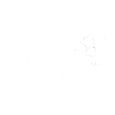 CCOCC=NOCCCCN(C)C[C@H]1O[C@@H](n2c(NC)nc3c(N)ncnc32)C(O)C1O